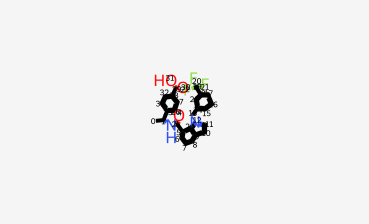 CC(NC(=O)c1cccc2ccn(Cc3cccc(C(F)(F)F)c3)c12)c1ccc(C(=O)O)cc1